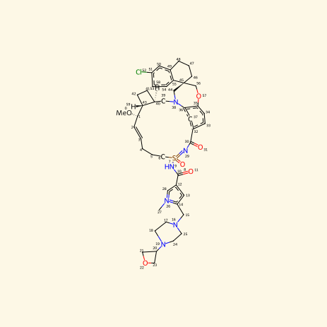 CO[C@H]1/C=C/CCC[S@@](=O)(NC(=O)c2cc(CN3CCN(C4COC4)CC3)n(C)c2)=NC(=O)c2ccc3c(c2)N(C[C@@H]2CC[C@H]21)C[C@@]1(CCCc2cc(Cl)ccc21)CO3